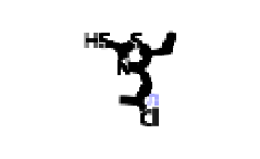 C=Cc1sc(S)nc1/C=C(\C)Cl